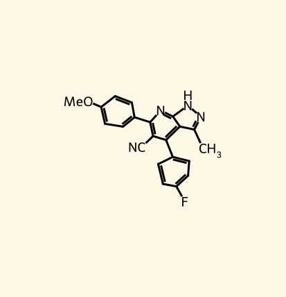 COc1ccc(-c2nc3[nH]nc(C)c3c(-c3ccc(F)cc3)c2C#N)cc1